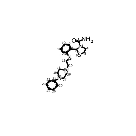 NC(=O)N1CCSC1c1ccccc1SCCN1CCN(c2ccccc2)CC1